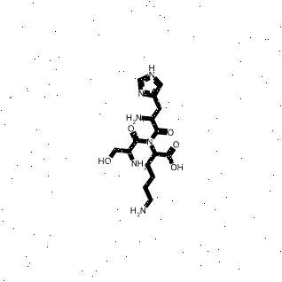 NCCCCC(C(=O)O)N(C(=O)C(N)CO)C(=O)C(N)Cc1c[nH]cn1